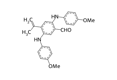 C=C(C)c1cc(Nc2ccc(OC)cc2)c(C=O)cc1Nc1ccc(OC)cc1